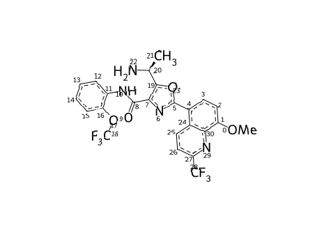 COc1ccc(-c2nc(C(=O)Nc3ccccc3OC(F)(F)F)c([C@H](C)N)o2)c2ccc(C(F)(F)F)nc12